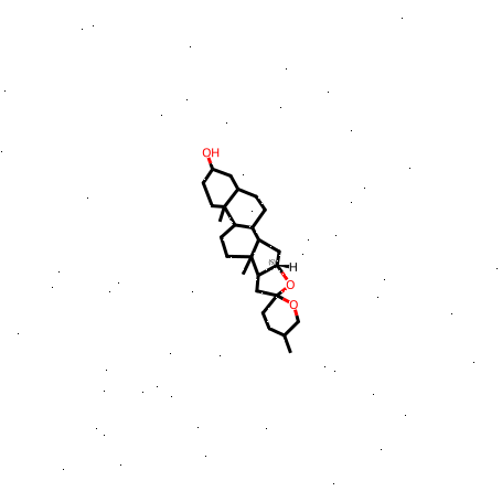 CC1CCC2(CC3[C@H](CC4C5CCC6CC(O)CCC6(C)C5CCC43C)O2)OC1